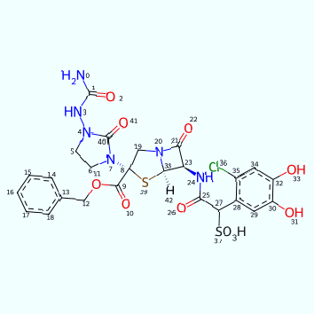 NC(=O)NN1CCN([C@]2(C(=O)OCc3ccccc3)CN3C(=O)[C@@H](NC(=O)C(c4cc(O)c(O)cc4Cl)S(=O)(=O)O)[C@H]3S2)C1=O